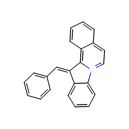 C(=C1c2ccccc2-[n+]2ccc3ccccc3c21)c1ccccc1